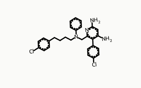 Nc1cc(N)c(-c2ccc(Cl)cc2)c(CN(CCCCc2ccc(Cl)cc2)c2ccccc2)n1